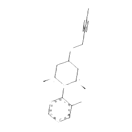 CC#CCOC1C[C@@H](C)N(c2ncncc2F)[C@@H](C)C1